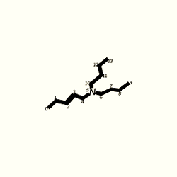 CCC=CCN(CCCC)CCCC